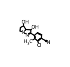 Cc1c(C2=NN3CCC(O)C3C2O)ccc(C#N)c1Cl